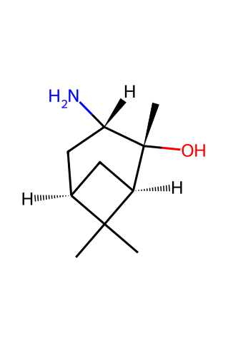 CC1(C)[C@@H]2C[C@H]1[C@@](C)(O)[C@@H](N)C2